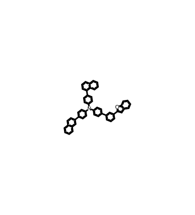 c1cc(-c2ccc(N(c3ccc(-c4ccc5ccccc5c4)cc3)c3ccc(-c4cccc5ccccc45)cc3)cc2)cc(-c2cc3ccccc3o2)c1